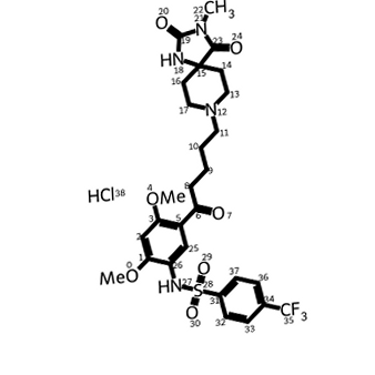 COc1cc(OC)c(C(=O)CCCCN2CCC3(CC2)NC(=O)N(C)C3=O)cc1NS(=O)(=O)c1ccc(C(F)(F)F)cc1.Cl